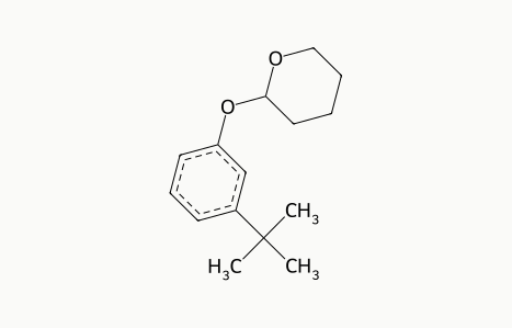 CC(C)(C)c1cccc(OC2CCCCO2)c1